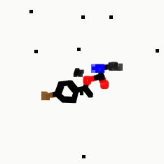 CC(OC(=O)NC(C)(C)C)c1ccc(Br)cc1.[Ar]